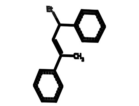 CCC(C=C(C)c1ccccc1)c1ccccc1